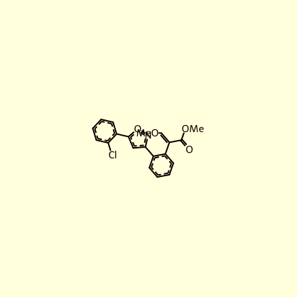 CO/C=C(/C(=O)OC)c1ccccc1-c1cc(-c2ccccc2Cl)on1